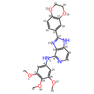 COc1cc(Nc2nccc3[nH]c(-c4ccc5c(c4)OCCO5)nc23)cc(OC)c1OC